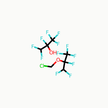 FC(F)C(F)(OCCl)C(F)(F)F.OC(F)(C(F)F)C(F)(F)F